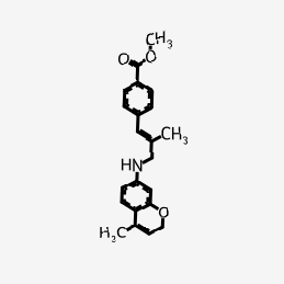 COC(=O)c1ccc(C=C(C)CNc2ccc3c(c2)OCC=C3C)cc1